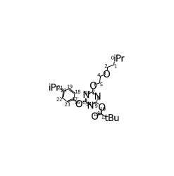 CC(C)CCOCCOc1nc(OC(=O)C(C)(C)C)nc(Oc2ccc(C(C)C)cc2)n1